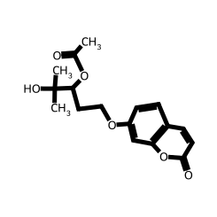 CC(=O)OC(CCOc1ccc2ccc(=O)oc2c1)C(C)(C)O